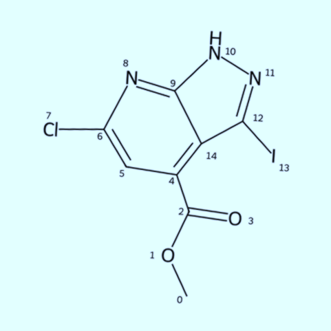 COC(=O)c1cc(Cl)nc2[nH]nc(I)c12